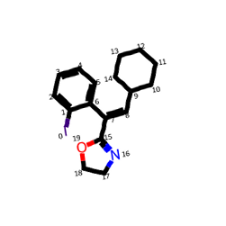 Ic1ccccc1/C(=C\C1CCCCC1)C1=NCCO1